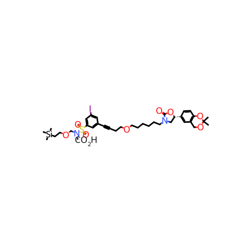 CC1(C)OCc2cc([C@@H]3CN(CCCCCCOCCC#Cc4cc(I)cc(S(=O)(=O)N(COCC[Si](C)(C)C)C(=O)O)c4)C(=O)O3)ccc2O1